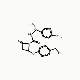 CCC[C@@H](NC(=O)N1C(=O)CC1Oc1ccc(CBr)cc1)c1ccc(C)cc1